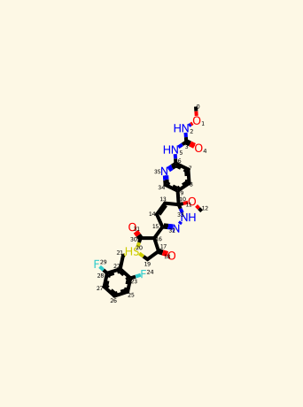 CONC(=O)Nc1ccc(C2(OC)C=CC(C3C(=O)C[SH](Cc4c(F)cccc4F)C3=O)=NN2)cn1